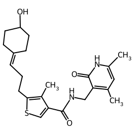 Cc1cc(C)c(CNC(=O)c2csc(CCC=C3CCC(O)CC3)c2C)c(=O)[nH]1